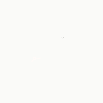 CCOCCC(OC)=C(C)C(=O)O